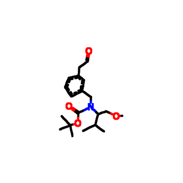 COCC(C(C)C)N(Cc1cccc(CC=O)c1)C(=O)OC(C)(C)C